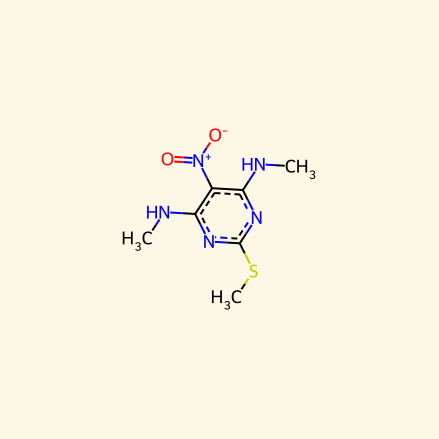 CNc1nc(SC)nc(NC)c1[N+](=O)[O-]